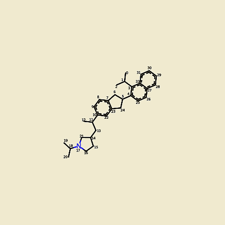 CC(C)c1c(C2Cc3ccc(C(C)CC4CCN(C(C)C)C4)cc3C2)ccc2ccccc12